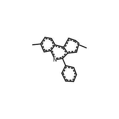 Cc1ccc2c(c1)nc(-c1ccccc1)c1cc(C)ccc12